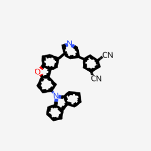 N#Cc1cc(C#N)cc(-c2cncc(-c3ccc4oc5ccc(-n6c7ccccc7c7ccccc76)cc5c4c3)c2)c1